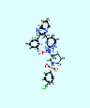 O=S(=O)(c1ccc(Cl)cc1)N1CCC[C@@H](Nc2nccc(-c3c(-c4cccc(O)c4)nc4sccn34)n2)C1